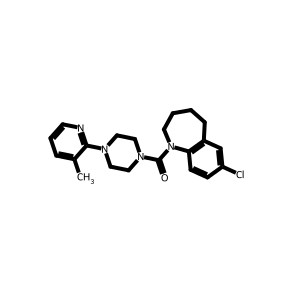 Cc1cccnc1N1CCN(C(=O)N2CCCCc3cc(Cl)ccc32)CC1